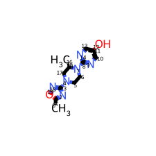 Cc1nc(N2CCN(c3ncc(O)cn3)[C@H](C)C2)no1